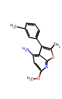 COc1cc(N)c2c(-c3cccc(C)c3)c(C)sc2n1